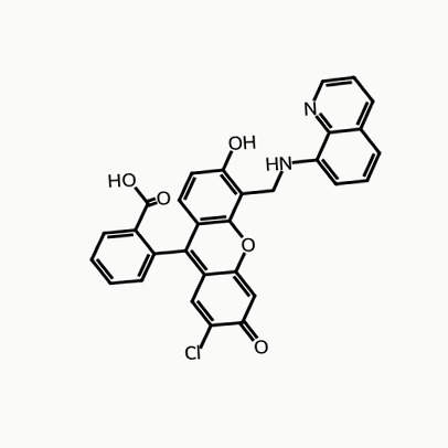 O=C(O)c1ccccc1-c1c2cc(Cl)c(=O)cc-2oc2c(CNc3cccc4cccnc34)c(O)ccc12